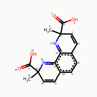 CC1(C(=O)O)C=Cc2ccc3c(c2=N1)=NC(C)(C(=O)O)C=C3